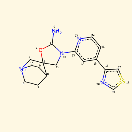 NC1OC2(CN3CCC2CC3)CN1c1cc(-c2cscn2)ccn1